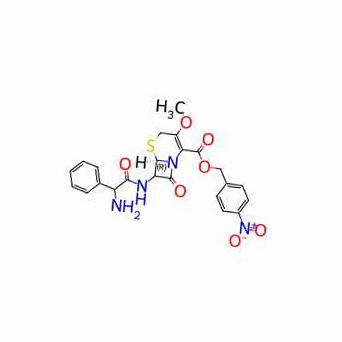 COC1=C(C(=O)OCc2ccc([N+](=O)[O-])cc2)N2C(=O)C(NC(=O)C(N)c3ccccc3)[C@H]2SC1